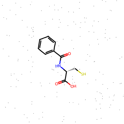 O=C(N[C@H](CS)C(=O)O)c1ccccc1